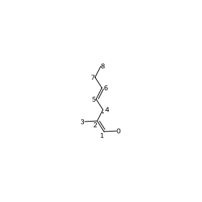 CC=C(C)[CH]C=CCC